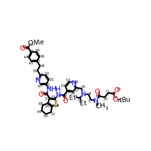 CCC(CC)N(CCN(C)C(=O)CCC(=O)OC(C)(C)C)Cc1cc(C(=O)Nc2sc3c(c2C(=O)Nc2ccc(CCc4ccc(C(=O)OC)cc4)nc2)CCCC3)ccn1